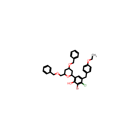 CCOc1ccc(Cc2cc(C3CC(OCc4ccccc4)CC(COCc4ccccc4)O3)c(O)c(Br)c2Cl)cc1